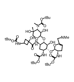 CNCC1=CC[C@@H](NC(=O)OC(C)(C)C)[C@@H](O[C@H]2[C@H](O)[C@@H](O[C@H]3OC[C@](C)(O)[C@H](N(C)C(=O)OC(C)(C)C)[C@H]3O)[C@H](NC(=O)C3(O)CC(NC(=O)OC(C)(C)C)C3)C[C@@H]2NC(=O)OC(C)(C)C)O1